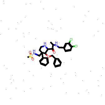 CC(NCc1ccc(Cl)c(Cl)c1)C(=O)C1NCCC(CNS(C)(=O)=O)(c2ccccc2)C1OCc1ccccc1